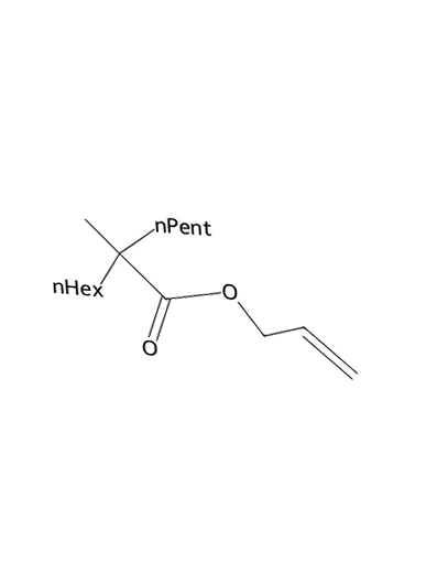 C=CCOC(=O)C(C)(CCCCC)CCCCCC